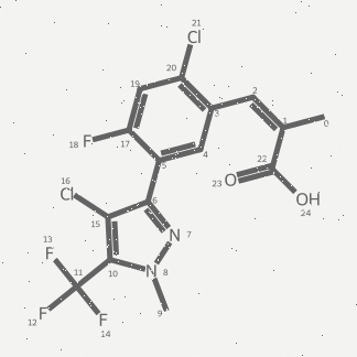 CC(=Cc1cc(-c2nn(C)c(C(F)(F)F)c2Cl)c(F)cc1Cl)C(=O)O